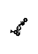 c1ccc(-n2ccc(CN3CCCN(c4cc(C5CC5)cc5cccnc45)CC3)n2)cc1